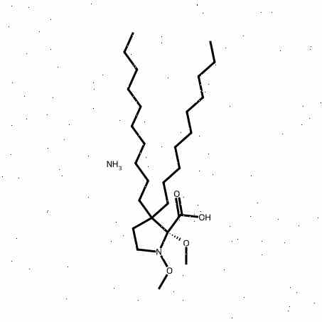 CCCCCCCCCCC1(CCCCCCCCCC)CCN(OC)[C@]1(OC)C(=O)O.N